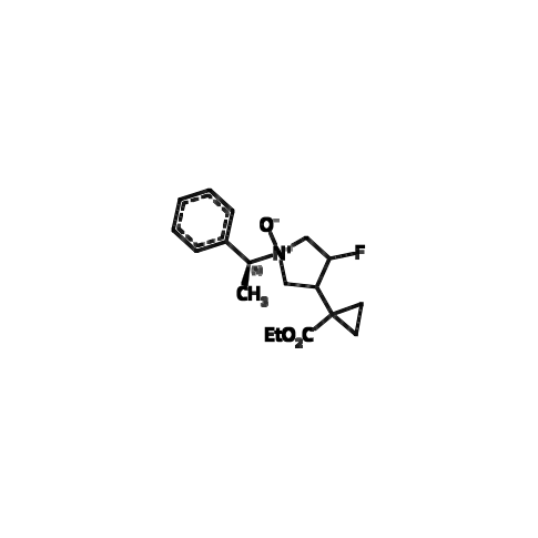 CCOC(=O)C1(C2C[N+]([O-])([C@@H](C)c3ccccc3)CC2F)CC1